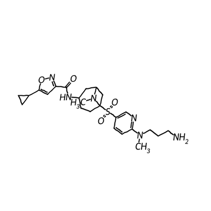 CN(CCCN)c1ccc(S(=O)(=O)C23CCC(NC(=O)c4cc(C5CC5)on4)CC(C2)N3C)cn1